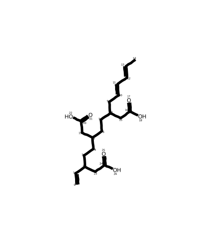 C=CC(CCC(CCC(CC=CC=CC)CC(=O)O)CC(=O)O)CC(=O)O